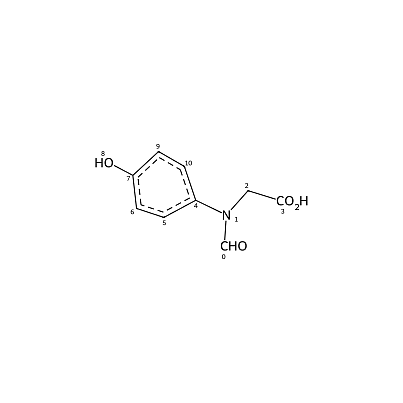 O=CN(CC(=O)O)c1ccc(O)cc1